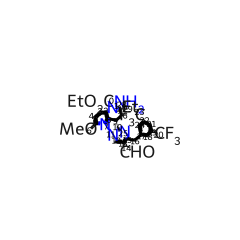 CCOC(=O)N1c2ccc(OC)nc2[C@@H](c2ncc(C=O)c(Cc3cc(C(F)(F)F)cc(C(F)(F)F)c3)n2)C[C@@]1(N)CC